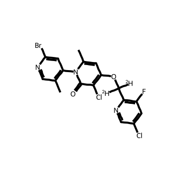 [2H]C([2H])(Oc1cc(C)n(-c2cc(Br)ncc2C)c(=O)c1Cl)c1ncc(Cl)cc1F